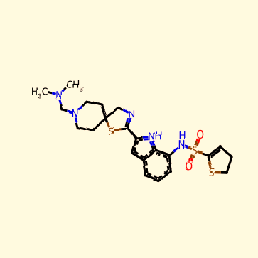 CN(C)CN1CCC2(CC1)CN=C(c1cc3cccc(NS(=O)(=O)C4=CCCS4)c3[nH]1)S2